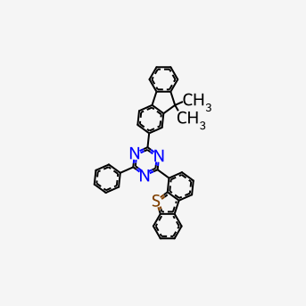 CC1(C)c2ccccc2-c2ccc(-c3nc(-c4ccccc4)nc(-c4cccc5c4sc4ccccc45)n3)cc21